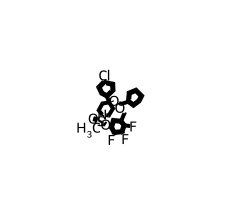 CS(=O)(=O)N1CC[C@@](OCc2ccccc2)(c2ccc(Cl)cc2)[C@H](OCc2ccc(F)c(F)c2F)C1